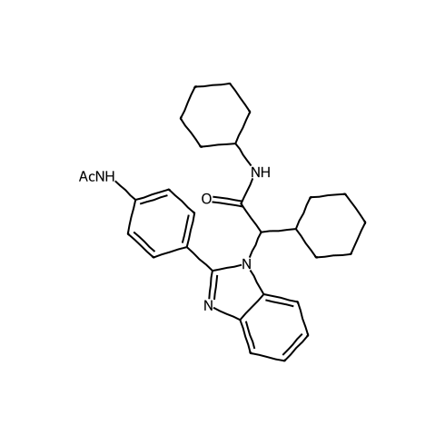 CC(=O)Nc1ccc(-c2nc3ccccc3n2C(C(=O)NC2CCCCC2)C2CCCCC2)cc1